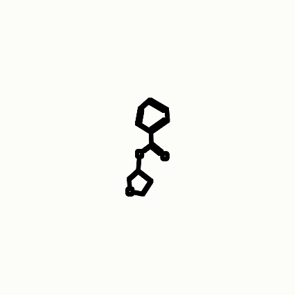 O=C(OC1CCOC1)c1ccccc1